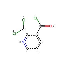 ClCCl.O=C(Cl)c1cccnc1